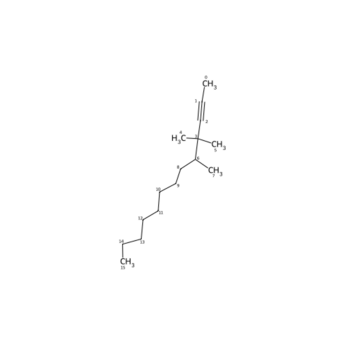 CC#CC(C)(C)C(C)CCCCCCCC